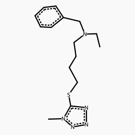 CCN(CCCCSc1nnnn1C)Cc1ccccc1